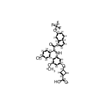 COc1cc(NC(C(=O)n2ccc3ccc(OC(F)(F)F)cc32)c2ccc(Cl)cc2)cc(OC2C=C(C(=O)O)C2)c1